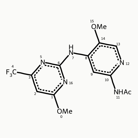 COc1cc(C(F)(F)F)nc(Nc2cc(NC(C)=O)ncc2OC)n1